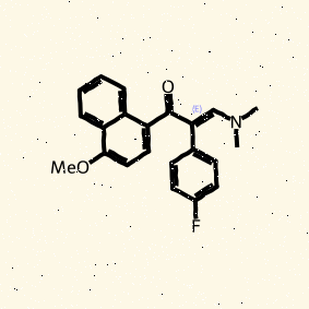 COc1ccc(C(=O)/C(=C/N(C)C)c2ccc(F)cc2)c2ccccc12